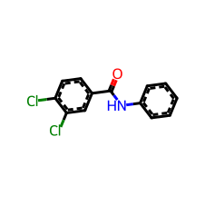 O=C(Nc1ccccc1)c1ccc(Cl)c(Cl)c1